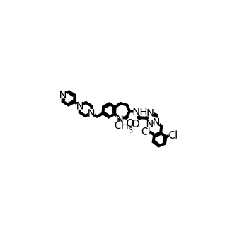 CN1C(=O)C(NC(=O)c2ncn(Cc3c(Cl)cccc3Cl)n2)CCc2ccc(CN3CCN(c4ccncc4)CC3)cc21